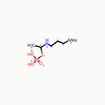 CNCCCNC(C)SP(=O)(O)O